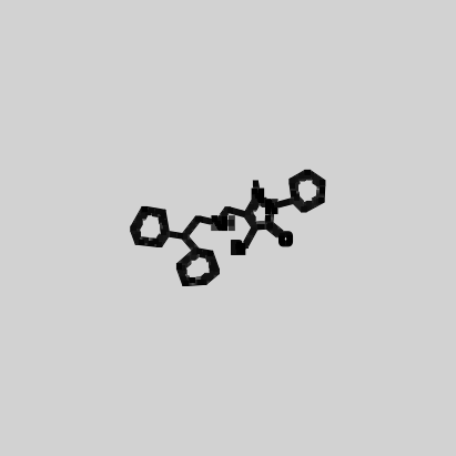 Cn1c(CNCC(c2ccccc2)c2ccccc2)c(Br)c(=O)n1-c1ccccc1